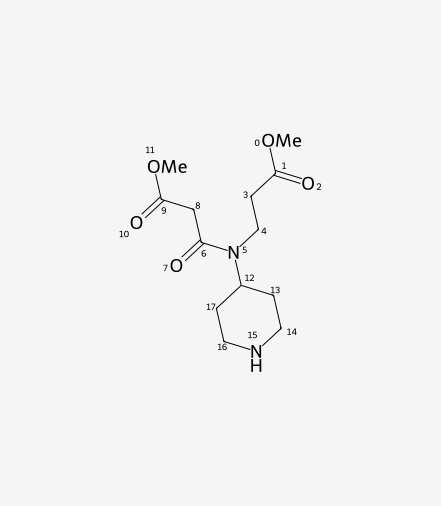 COC(=O)CCN(C(=O)CC(=O)OC)C1CCNCC1